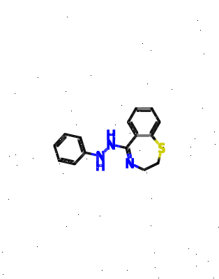 c1ccc(NNC2=NCCSc3ccccc32)cc1